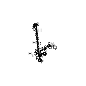 CC(C)(C)[C@H](c1cc(-c2cc(F)ccc2F)cn1Cc1ccccc1)N(CCCNC(=O)OCC[Si](C)(C)C)C(=O)CSCCC(=O)NCCOCCOCCNC(=O)CN1C(=O)C=CC1=O